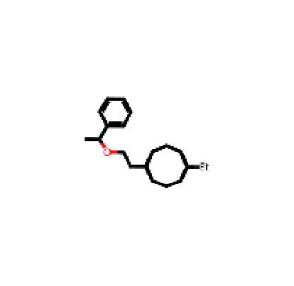 CCC1CCCC(CCOC(C)c2ccccc2)CCC1